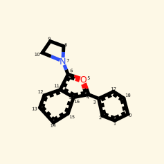 c1ccc(-c2oc(N3CCC3)c3ccccc23)cc1